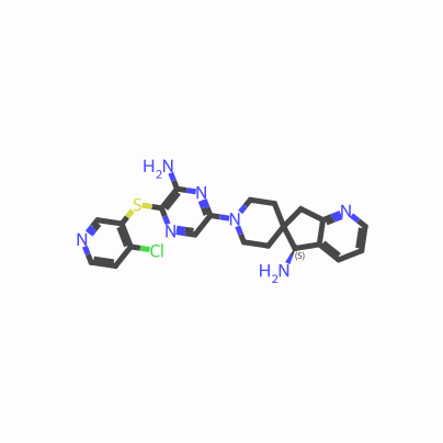 Nc1nc(N2CCC3(CC2)Cc2ncccc2[C@H]3N)cnc1Sc1cnccc1Cl